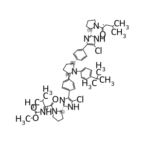 COC(=O)N[C@H](C(=O)N1CCC[C@H]1c1nc(-c2ccc([C@H]3CC[C@H](c4ccc(-c5nc([C@@H]6CCCN6C(=O)[CH]C(C)C)[nH]c5Cl)cc4)N3c3ccc(C(C)(C)C)cc3)cc2)c(Cl)[nH]1)C(C)C